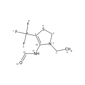 CCN1CSC(C(F)(F)F)=C1NC=O